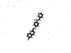 Fc1ccc2nc(COc3ccc(NCc4cccnc4)cc3)ccc2c1